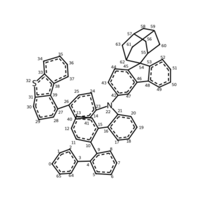 c1ccc(-c2ccccc2-c2ccccc2-c2ccccc2N(c2ccc(-c3cccc4sc5ccccc5c34)cc2)c2ccc3c(c2)-c2ccccc2C32C3CC4CC(C3)CC2C4)cc1